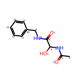 CC(=O)NC(O)C(=O)NCc1ccccc1